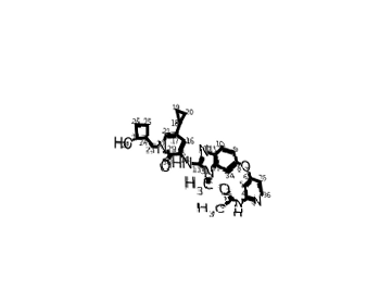 CC(=O)Nc1cc(Oc2ccc3nc(Nc4cc(C5CC5)cn(CC5CC[C@@H]5O)c4=O)n(C)c3c2)ccn1